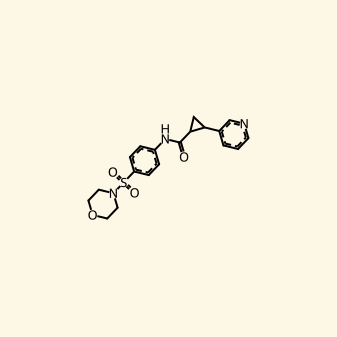 O=C(Nc1ccc(S(=O)(=O)N2CCOCC2)cc1)C1CC1c1cccnc1